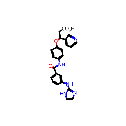 O=C(O)CC(Oc1ccc(NC(=O)c2cccc(Nc3ncc[nH]3)c2)cc1)c1cccnc1